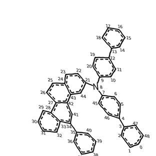 c1ccc(-c2ccc(N(c3ccc(-c4ccccc4)cc3)c3ccc4ccc5c6ccccc6c(-c6ccccc6)cc5c4c3)cc2)cc1